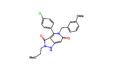 COCCn1[nH]c2cc(=O)n(Cc3cccc(OC)c3)c(-c3ccc(Cl)cc3)c2c1=O